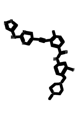 Cc1ccc(C(=O)Nc2ccc(CN3CCN(C)CC3)c(F)c2)cc1C#Cc1cnc(Nc2cnoc2)nc1